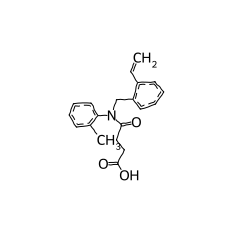 C=Cc1ccccc1CN(C(=O)CCC(=O)O)c1ccccc1C